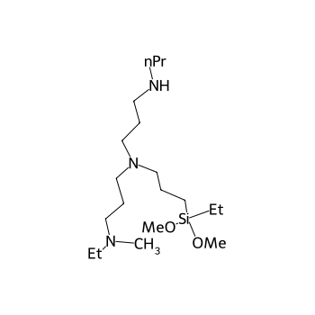 CCCNCCCN(CCCN(C)CC)CCC[Si](CC)(OC)OC